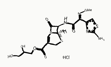 CON=C(C(=O)NC1C(=O)N2C=C(C(=O)OCC(O)CO)CS[C@H]12)c1csc(N)n1.Cl